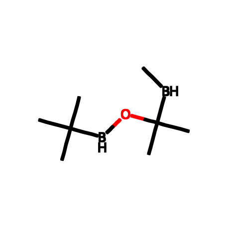 CBC(C)(C)OBC(C)(C)C